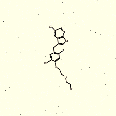 Oc1cc(Cc2c[nH]c3ncc(Cl)cc23)c(F)cc1OCCOCCBr